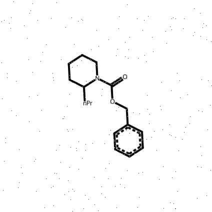 CCCC1CCCCN1C(=O)OCc1ccccc1